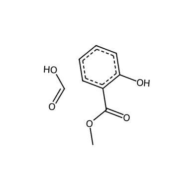 COC(=O)c1ccccc1O.O=CO